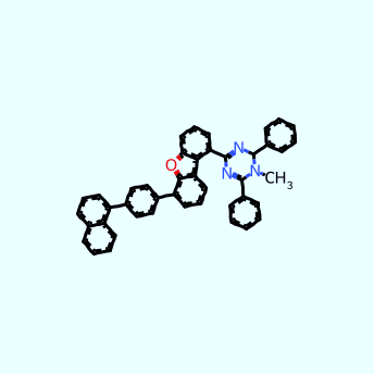 CN1C(c2ccccc2)=NC(c2cccc3oc4c(-c5ccc(-c6cccc7ccccc67)cc5)cccc4c23)=NC1c1ccccc1